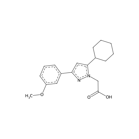 COc1cccc(-c2cc(C3CCCCC3)n(CC(=O)O)n2)c1